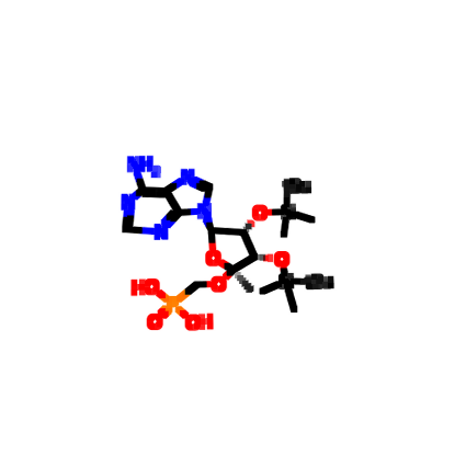 CC(C)(C)[Si](C)(C)O[C@H]1[C@H](n2cnc3c(N)ncnc32)O[C@](C)(OCP(=O)(O)O)[C@H]1O[Si](C)(C)C(C)(C)C